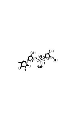 Cc1cn([C@H]2C[C@H](O)[C@@H](COP(=O)(O)O[C@]3(O)C[C@H](O)[C@@H](CO)O3)O2)c(=O)[nH]c1=O.[NaH]